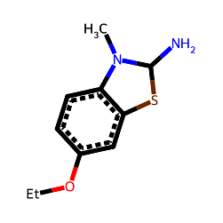 CCOc1ccc2c(c1)SC(N)N2C